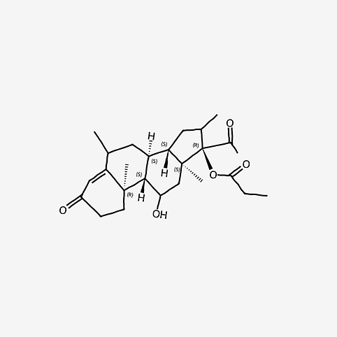 CCC(=O)O[C@]1(C(C)=O)C(C)C[C@H]2[C@@H]3CC(C)C4=CC(=O)CC[C@]4(C)[C@H]3C(O)C[C@@]21C